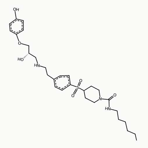 CCCCCCNC(=O)N1CCC(S(=O)(=O)c2ccc(CCNC[C@H](O)COc3ccc(O)cc3)cc2)CC1